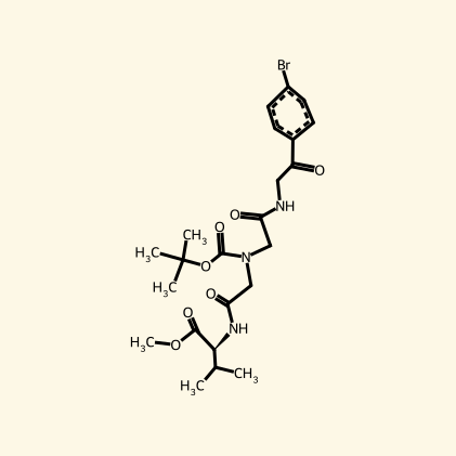 COC(=O)[C@@H](NC(=O)CN(CC(=O)NCC(=O)c1ccc(Br)cc1)C(=O)OC(C)(C)C)C(C)C